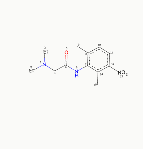 CCN(CC)CC(=O)Nc1c(C)ccc([N+](=O)[O-])c1C